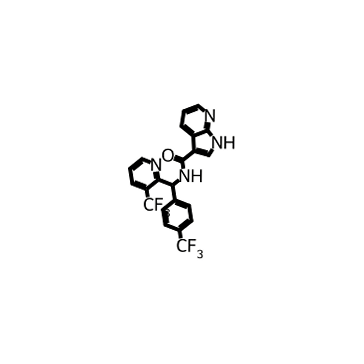 O=C(NC(c1ccc(C(F)(F)F)cc1)c1ncccc1C(F)(F)F)c1c[nH]c2ncccc12